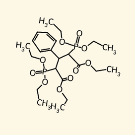 CCOC(=O)C(C(c1ccccc1)C(C(=O)OCC)P(=O)(OCC)OCC)P(=O)(OCC)OCC